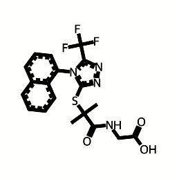 CC(C)(Sc1nnc(C(F)(F)F)n1-c1cccc2ccccc12)C(=O)NCC(=O)O